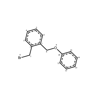 BrCc1ccccc1COc1ccccc1